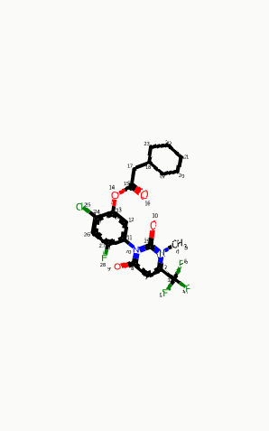 Cn1c(C(F)(F)F)cc(=O)n(-c2cc(OC(=O)CC3CCCCC3)c(Cl)cc2F)c1=O